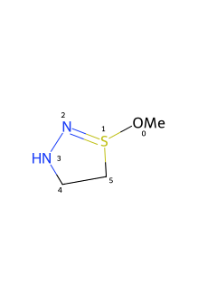 COS1=NNCC1